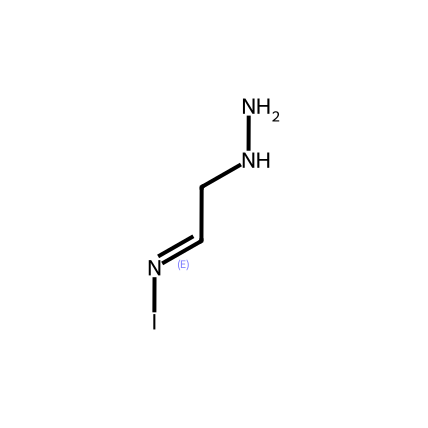 NNC/C=N/I